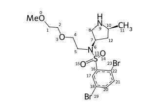 COCCOCCN([C@H]1CN[C@@H](C)C1)S(=O)(=O)c1cc(Br)ccc1Br